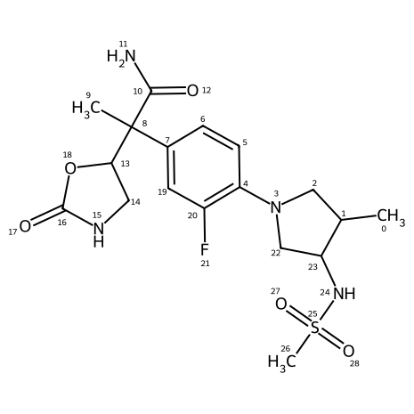 CC1CN(c2ccc(C(C)(C(N)=O)C3CNC(=O)O3)cc2F)CC1NS(C)(=O)=O